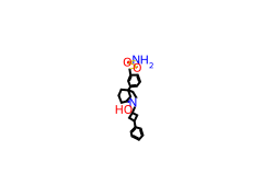 NS(=O)(=O)Cc1cccc(C23CCCC(C2)N(CC2(O)CC(c4ccccc4)C2)CC3)c1